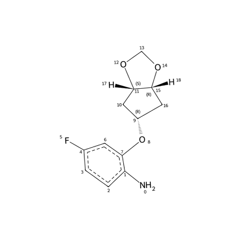 Nc1ccc(F)cc1O[C@@H]1C[C@@H]2OCO[C@@H]2C1